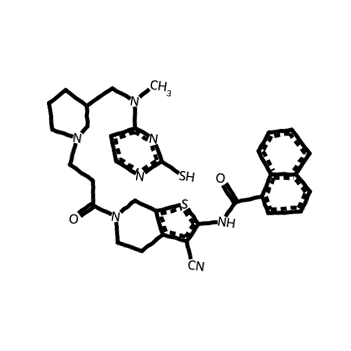 CN(CC1CCCN(CCC(=O)N2CCc3c(sc(NC(=O)c4cccc5ccccc45)c3C#N)C2)C1)c1ccnc(S)n1